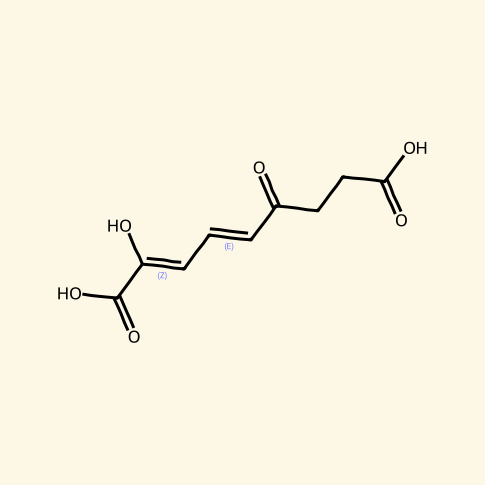 O=C(O)CCC(=O)/C=C/C=C(\O)C(=O)O